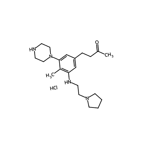 CC(=O)CCc1cc(NCCN2CCCC2)c(C)c(N2CCNCC2)c1.Cl